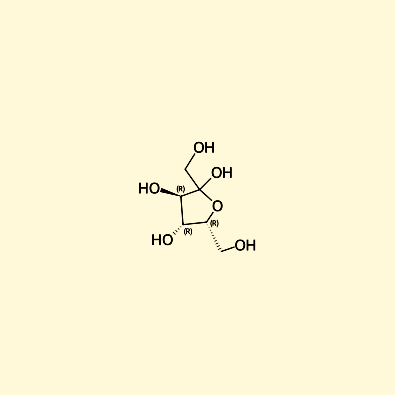 OC[C@H]1OC(O)(CO)[C@H](O)[C@H]1O